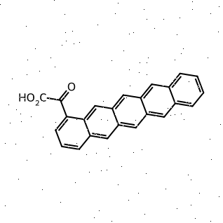 O=C(O)C(=O)c1cccc2cc3cc4cc5ccccc5cc4cc3cc12